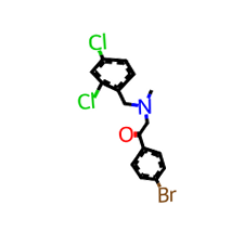 CN(CC(=O)c1ccc(Br)cc1)Cc1ccc(Cl)cc1Cl